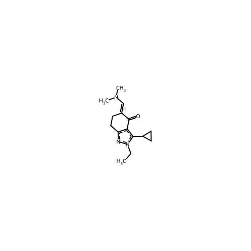 CCn1nc2c(c1C1CC1)C(=O)/C(=C/N(C)C)CC2